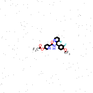 O=C(N[C@@H](c1ccc(OC(F)(F)F)c(F)c1)c1ncccc1F)c1ccc(OC(=O)C(F)(F)F)cn1